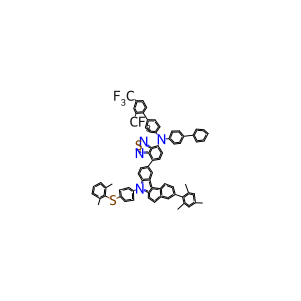 Cc1cc(C)c(-c2ccc3c(ccc4c3c3cc(-c5ccc(N(c6ccc(-c7ccccc7)cc6)c6ccc(-c7ccc(C(F)(F)F)cc7C(F)(F)F)cc6)c6nsnc56)ccc3n4-c3ccc(Sc4c(C)cccc4C)cc3)c2)c(C)c1